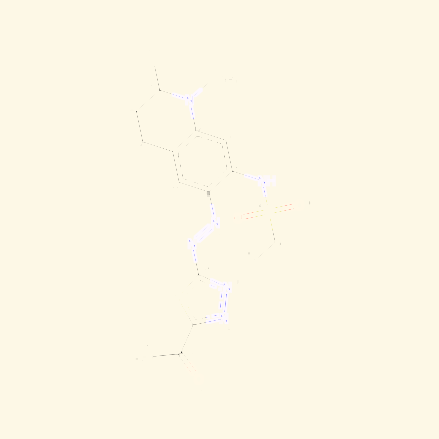 CCCCCN1c2cc(NS(=O)(=O)CC(F)(F)F)c(N=Nc3nnc(C(=O)OCC(C)C)s3)cc2CCC1CC